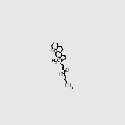 CCCCNC(=O)CCCC1CCC2C3CCC4CCCCC4(C)C3CCC12C